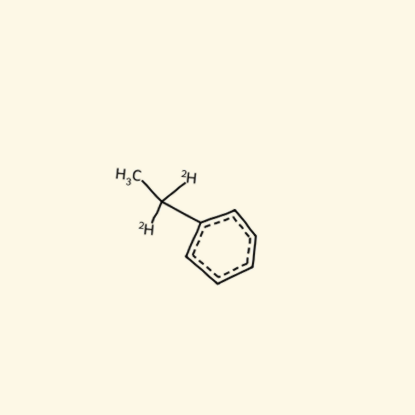 [2H]C([2H])(C)c1ccccc1